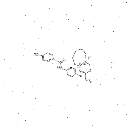 N#Cc1ccc(C(=O)Nc2ccc(F)c([C@]34CCCCC[C@H]3CSC(N)=N4)c2)nc1